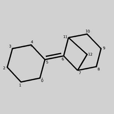 [CH]1CCC[CH]C1=C1C2CCCC1C2